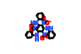 O=[N+]([O-])c1c(Nc2ccccc2)c([N+](=O)[O-])c(Nc2ccccc2)c([N+](=O)[O-])c1Nc1ccccc1